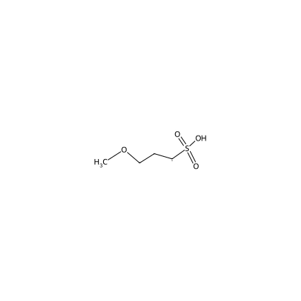 COCC[CH]S(=O)(=O)O